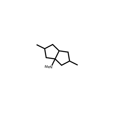 CNC12CC(C)CC1CC(C)C2